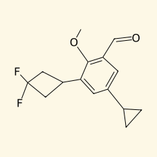 COc1c(C=O)cc(C2CC2)cc1C1CC(F)(F)C1